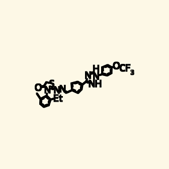 CCc1cccc(C)c1N1C(=O)CS/C1=N\N=C\c1ccc(C(=N)/N=C\Nc2ccc(OC(F)(F)F)cc2)cc1